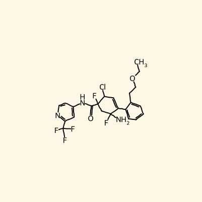 CCOCCc1ccccc1C1=CC(Cl)C(F)(C(=O)Nc2ccnc(C(F)(F)F)c2)CC1(N)F